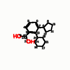 OB(O)c1cccc(C2CCCC2)c1C1CCCCC1